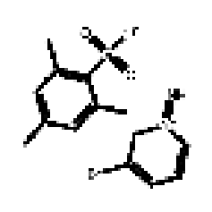 Cc1cc(C)c(S(=O)(=O)[O-])c(C)c1.N=[N+]1C=CC=C(Br)C1